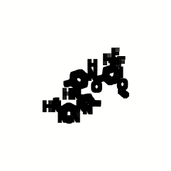 CCOc1cc(C(=O)Nc2ccc(C)c(Nc3cc(C)nn3-c3cc(NC)ncn3)c2)cc(C(F)(F)F)n1